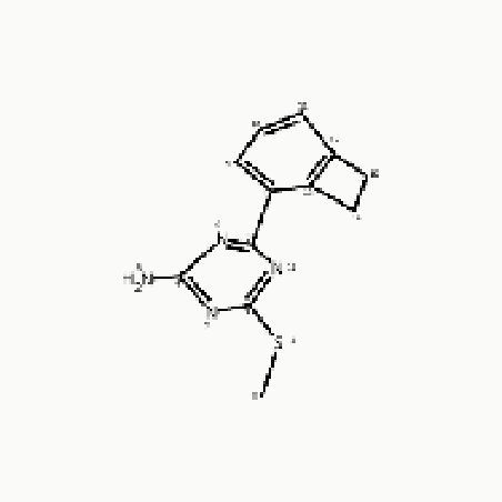 CSc1nc(N)nc(-c2cccc3c2CC3)n1